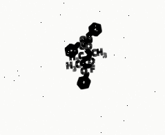 CC1[C@H](C)C([C@H](C)COP(=O)(OCc2ccccc2)OCc2ccccc2)OC(F)[C@@H]1OCc1ccccc1